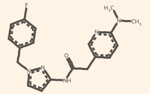 CN(C)c1ccc(CC(=O)Nc2ccn(Cc3ccc(F)cc3)n2)cn1